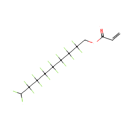 C=CC(=O)OCC(F)(F)C(F)(F)C(F)(F)C(F)(F)C(F)(F)C(F)(F)C(F)(F)C(F)F